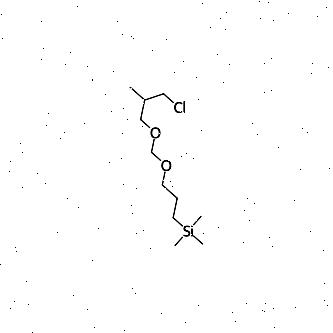 CC(CCl)COCOCCC[Si](C)(C)C